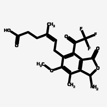 COc1c(C)c2c(c(C(=O)C(F)(F)F)c1CC=C(C)CCC(=O)O)C(=O)OC2N